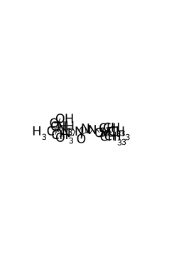 CC(C)(C)[C@@H](NC(=O)O)C(=O)N1CCC(N2CN3CN(CO[Si](C)(C)C(C)(C)C)C=C3C2=O)CC1